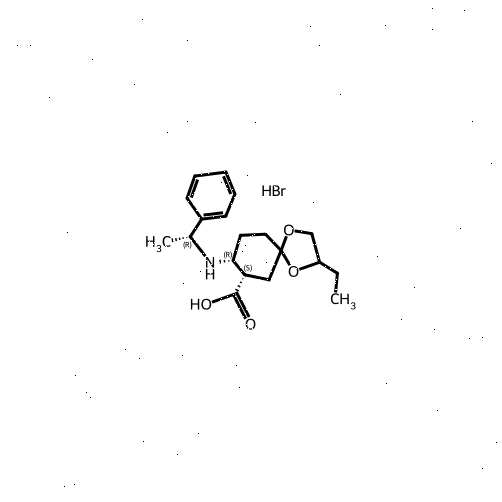 Br.CCC1COC2(CC[C@@H](N[C@H](C)c3ccccc3)[C@@H](C(=O)O)C2)O1